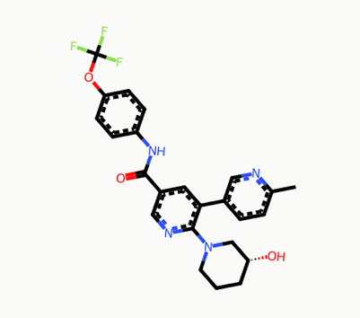 Cc1ccc(-c2cc(C(=O)Nc3ccc(OC(F)(F)F)cc3)cnc2N2CCC[C@@H](O)C2)cn1